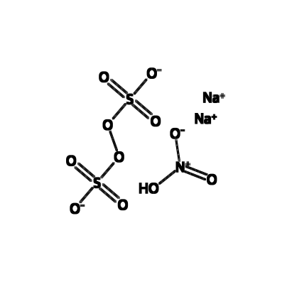 O=S(=O)([O-])OOS(=O)(=O)[O-].O=[N+]([O-])O.[Na+].[Na+]